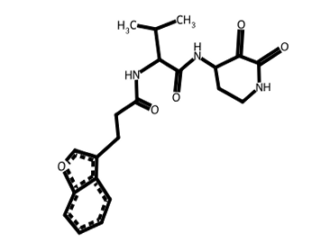 CC(C)C(NC(=O)CCc1coc2ccccc12)C(=O)NC1CCNC(=O)C1=O